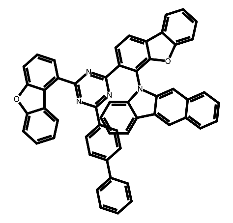 c1ccc(-c2ccc(-c3nc(-c4ccc5c(oc6ccccc65)c4-n4c5ccccc5c5cc6ccccc6cc54)nc(-c4cccc5oc6ccccc6c45)n3)cc2)cc1